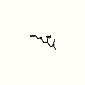 C=CCOCC(O)CN(C)C